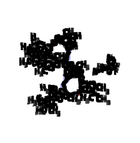 CC[C@H](C)[C@H]1O[C@]2(C=C[C@@H]1C)C[C@@H]1C[C@@H](C/C=C(\C)[C@@H](O[C@H]3C[C@H](OC)[C@@H](O[C@H]4C[C@H](OC)[C@@H](O)[C@H](C)O4)[C@H](C)O3)[C@@H](C)/C=C/C=C3\CO[C@@H]4[C@H](O)C(C)=C[C@@H](C(=O)O1)[C@]34O)O2.CO[C@H]1C[C@H](O[C@H]2[C@H](C)O[C@@H](O[C@@H]3/C(C)=C/C[C@@H]4C[C@@H](C[C@]5(C=C[C@H](C)[C@@H](C(C)C)O5)O4)OC(=O)[C@@H]4C=C(C)[C@@H](O)[C@H]5OC/C(=C\C=C\[C@@H]3C)[C@]54O)C[C@@H]2OC)O[C@@H](C)[C@@H]1O.N#CCNC(=O)c1cnccc1C(F)(F)F